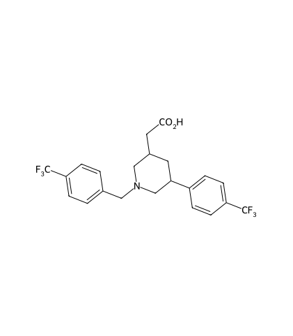 O=C(O)CC1CC(c2ccc(C(F)(F)F)cc2)CN(Cc2ccc(C(F)(F)F)cc2)C1